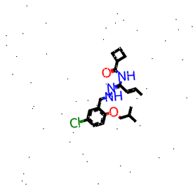 C/C=C/C(=N\NCc1cc(Cl)ccc1OCC(C)C)NC(=O)C1CCC1